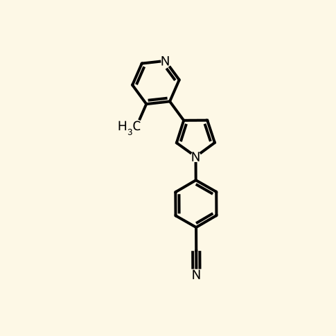 Cc1ccncc1-c1ccn(-c2ccc(C#N)cc2)c1